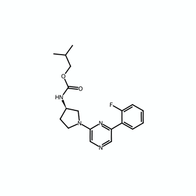 CC(C)COC(=O)N[C@@H]1CCN(c2cncc(-c3ccccc3F)n2)C1